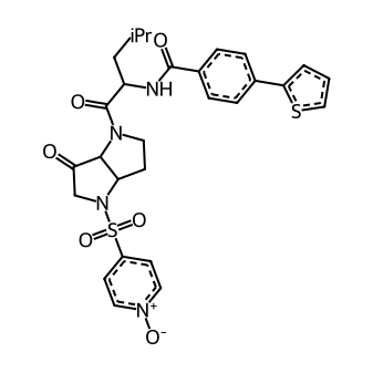 CC(C)CC(NC(=O)c1ccc(-c2cccs2)cc1)C(=O)N1CCC2C1C(=O)CN2S(=O)(=O)c1cc[n+]([O-])cc1